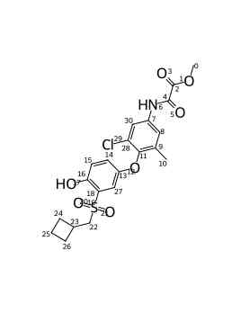 COC(=O)C(=O)Nc1cc(C)c(Oc2ccc(O)c(S(=O)(=O)CC3CCC3)c2)c(Cl)c1